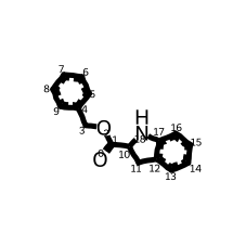 O=C(OCc1ccccc1)C1Cc2ccccc2N1